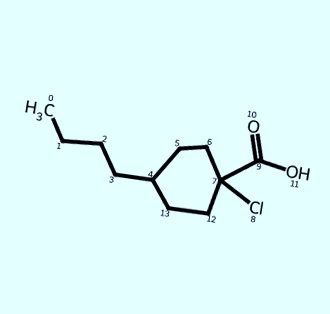 CCCCC1CCC(Cl)(C(=O)O)CC1